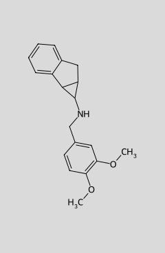 COc1ccc(CNC2C3Cc4ccccc4C32)cc1OC